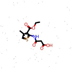 CCOC(=O)c1c(C)csc1NC(=O)CC(=O)O